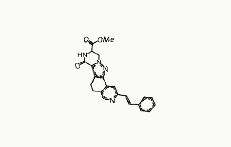 COC(=O)C1Cn2nc3c(c2C(=O)N1)CCc1cnc(C=Cc2ccccc2)cc1-3